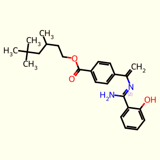 C=C(/N=C(\N)c1ccccc1O)c1ccc(C(=O)OCCC(C)CC(C)(C)C)cc1